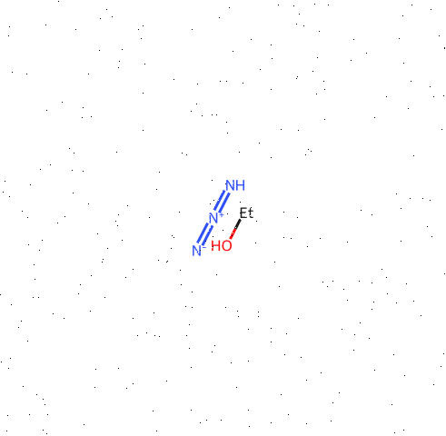 CCO.[N-]=[N+]=N